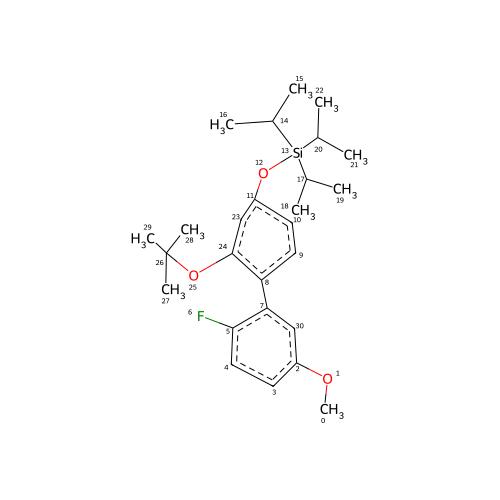 COc1ccc(F)c(-c2ccc(O[Si](C(C)C)(C(C)C)C(C)C)cc2OC(C)(C)C)c1